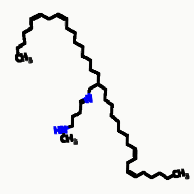 CCCCC/C=C\C/C=C\CCCCCCCCC(CCCCCCCC/C=C\C/C=C\CCCCC)CN=CCCCNC